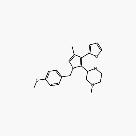 COc1ccc(Cn2cc(C)c(-c3ccco3)c2C2CN(C)CC[N]2)cc1